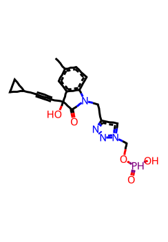 Cc1ccc2c(c1)C(O)(C#CC1CC1)C(=O)N2Cc1cn(CO[PH](=O)O)nn1